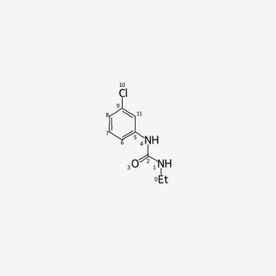 CCNC(=O)Nc1cccc(Cl)c1